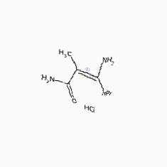 CCC/C(N)=C(/C)C(N)=O.Cl